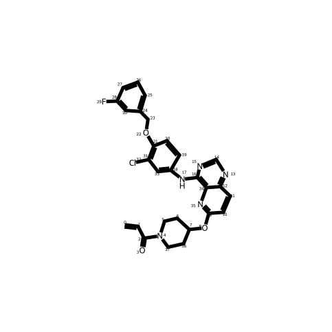 C=CC(=O)N1CCC(Oc2ccc3ncnc(Nc4ccc(OCc5cccc(F)c5)c(Cl)c4)c3n2)CC1